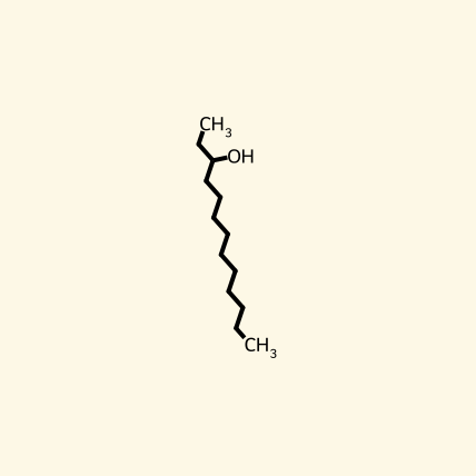 CCCCCCCCCCC(O)CC